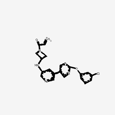 C=CC(=O)N1CC(Nc2cncc(-c3cnc(Oc4cccc(Cl)c4)nc3)c2)C1